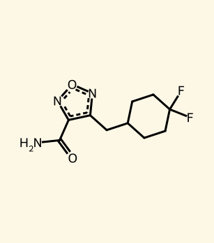 NC(=O)c1nonc1CC1CCC(F)(F)CC1